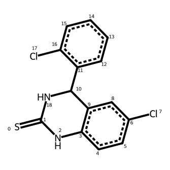 S=C1Nc2ccc(Cl)cc2C(c2ccccc2Cl)N1